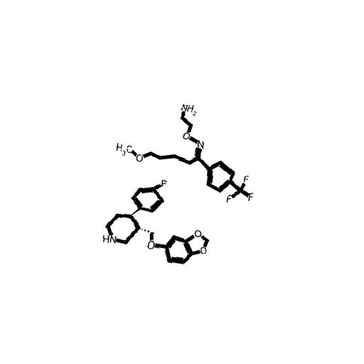 COCCCC/C(=N\OCCN)c1ccc(C(F)(F)F)cc1.Fc1ccc([C@@H]2CCNC[C@H]2COc2ccc3c(c2)OCO3)cc1